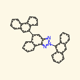 c1ccc2c(-n3nc4cc(-c5cc6ccccc6c6ccccc56)c5ccccc5c4n3)c3ccccc3cc2c1